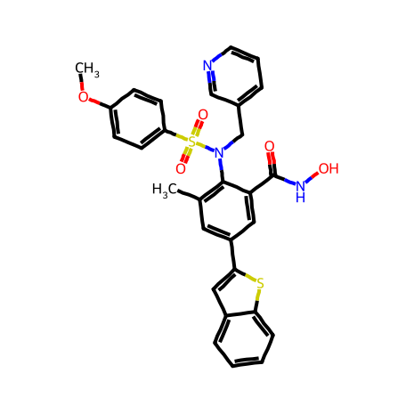 COc1ccc(S(=O)(=O)N(Cc2cccnc2)c2c(C)cc(-c3cc4ccccc4s3)cc2C(=O)NO)cc1